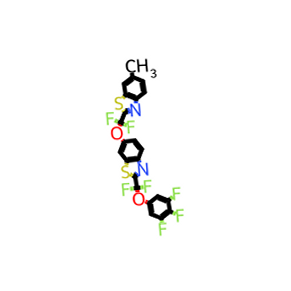 Cc1ccc2nc(C(F)(F)Oc3ccc4nc(C(F)(F)Oc5cc(F)c(F)c(F)c5)sc4c3)sc2c1